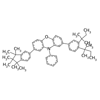 CCC(C)(C)c1ccc(-c2ccc3c(c2)N(c2ccccc2)c2cc(-c4ccc5c(c4)C(C)(C)C(C)(C)C5(C)C)ccc2O3)cc1C(C)(C)CC